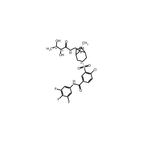 C[C@H]1CC2C[C@@H](S(=O)(=O)c3cc(C(=O)Nc4cc(F)c(F)c(F)c4)ccc3Cl)CC1[C@@]2(O)CNC(=O)[C@@H](O)[C@@H](C)O